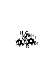 CN(C)c1nnc2n(Cc3cccnc3)c(=O)c3cc(Br)ccc3n12